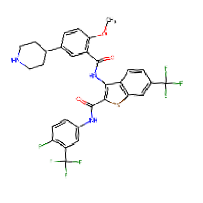 COc1ccc(C2CCNCC2)cc1C(=O)Nc1c(C(=O)Nc2ccc(F)c(C(F)(F)F)c2)sc2cc(C(F)(F)F)ccc12